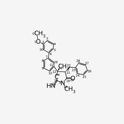 COc1cccc(-c2cccc([C@@]3(C)CC(=N)N(C)C(=O)[C@@H]3Cc3ccccc3)c2)c1